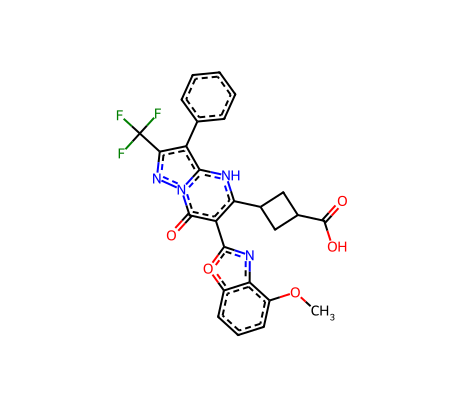 COc1cccc2oc(-c3c(C4CC(C(=O)O)C4)[nH]c4c(-c5ccccc5)c(C(F)(F)F)nn4c3=O)nc12